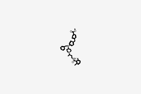 COC(=O)c1ccc(Cc2ccc(N(Cc3ccccc3)C3CCN(C(C)CCNC(=O)c4c(C)cccc4C)CC3)cc2)cc1